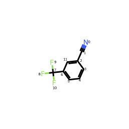 N#Cc1[c]ccc(C(F)(F)F)c1